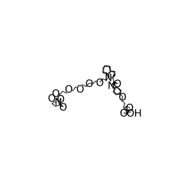 O=C(CCOCCOCCOCCOCC[n+]1c(-c2nc3ccc(OCCCS(=O)(=O)O)cc3o2)ccc2ccccc21)ON1C(=O)CCC1=O